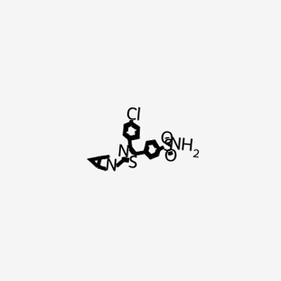 NS(=O)(=O)c1ccc(-c2sc(CN3CC4CC4C3)nc2-c2ccc(Cl)cc2)cc1